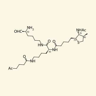 CC(=O)CCCC(=O)NCCCC[C@H](NC(=O)CCCC[C@@H]1SC[C@H](C)[C@@H]1NC(C)=O)C(=O)NCCCC[C@H](N)C=O